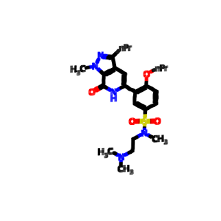 CCCOc1ccc(S(=O)(=O)N(C)CCN(C)C)cc1-c1cc2c(CCC)nn(C)c2c(=O)[nH]1